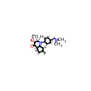 CN(C)Cc1ccc(-n2cc(OC(=O)O)c(=O)c3ccc(F)cc32)cc1